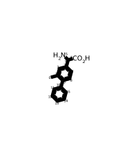 Cc1cc(C(N)C(=O)O)ccc1-c1ccccc1